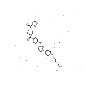 O=C(c1ccc(Nc2nccc(-c3ccc(SCCCCO)cc3)n2)cc1)N1CCN(C(=O)C2CC=CO2)CC1